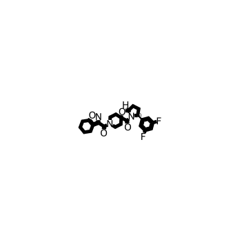 O=C(c1noc2c1CCCC2)N1CCC2(CC1)O[C@@H]1CC[C@@H](c3cc(F)cc(F)c3)N1C2=O